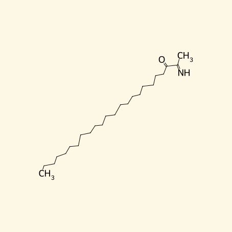 CCCCCCCCCCCCCCCCCCCCCC(=O)C(C)=N